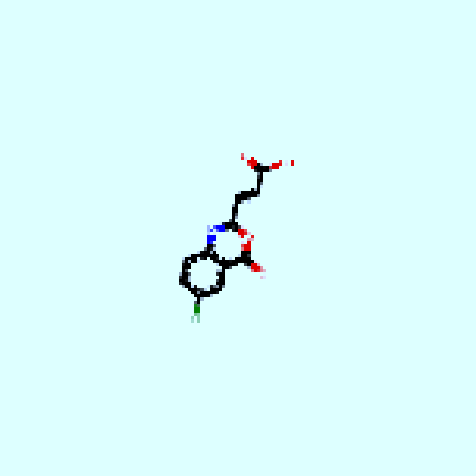 O=C(O)/C=C/c1nc2ccc(Cl)cc2c(=O)o1